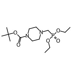 CCOP(=O)(CN1CCN(C(=O)OC(C)(C)C)CC1)OCC